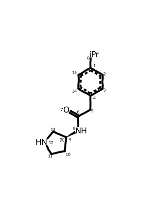 CC(C)c1ccc(CC(=O)N[C@H]2CCNC2)cc1